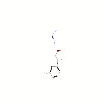 C[C@H](CC(=O)N/N=C/N(C)C)c1cccc([N+](=O)[O-])c1